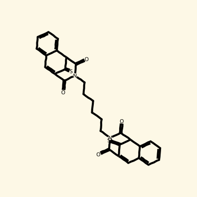 O=C1C2=Cc3ccccc3C(C(=O)N1CCCCCCN1C(=O)C3=Cc4ccccc4C(C1=O)C3=S)C2=S